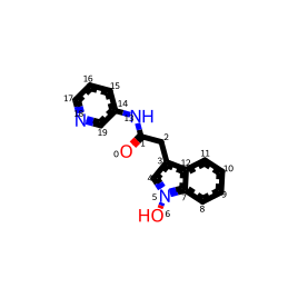 O=C(Cc1cn(O)c2ccccc12)Nc1cccnc1